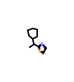 CC(c1nccs1)C1CCCCC1